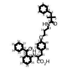 CC(C)(Cc1ccccc1)C(=O)NCCCOc1ccc(CC(Nc2ccccc2C(=O)c2ccccc2)C(=O)O)cc1